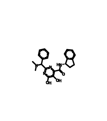 CN(C)C(c1ccccc1)c1nc(O)c(O)c(C(=O)N[C@H]2CCc3ccccc32)n1